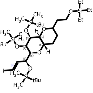 CC[Si](CC)(CC)OCCC1CC[C@@H]2O[C@@H]([C@H](/C=C/I)O[Si](C)(C)C(C)(C)C)[C@@H](O[Si](C)(C)C(C)(C)C)[C@@H](O[Si](C)(C)C(C)(C)C)[C@H]2O1